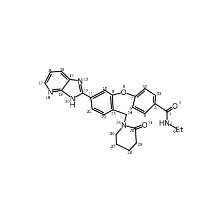 CCNC(=O)c1ccc(Oc2cc(-c3nc4cccnc4[nH]3)ccc2CN2CCCCC2=O)cc1